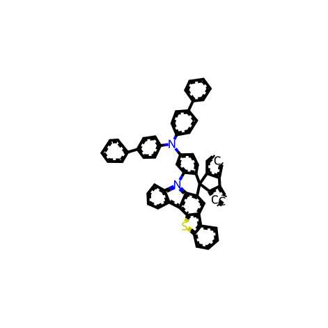 c1ccc(-c2ccc(N(c3ccc(-c4ccccc4)cc3)c3ccc4c(c3)-n3c5ccccc5c5c6sc7ccccc7c6cc(c53)C43c4ccccc4-c4ccccc43)cc2)cc1